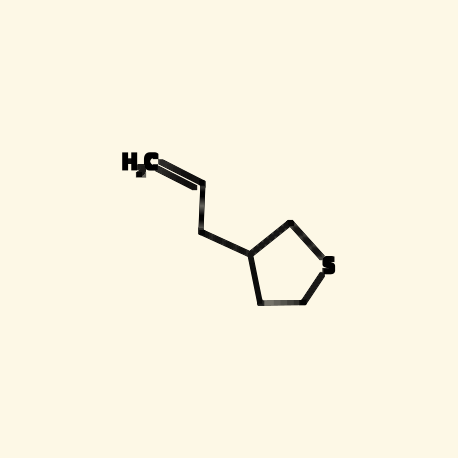 C=CCC1CCSC1